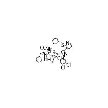 CC1(C)[C@@H](CC(=O)N[C@@H](Cc2ccccc2)C(N)=O)C[C@@H]1c1cc(-c2cccnc2SCc2ccccc2)nn1-c1ccc(Cl)c(Cl)c1